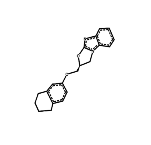 c1ccc2c(c1)nc1n2C[C@@H](COc2ccc3c(c2)CCCC3)O1